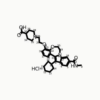 CNC(=O)c1ccc2c(C3CCCCC3)c3n(c2c1)CCOc1c(OCCN2CCC(C(=O)O)CC2)cccc1-3.Cl